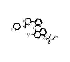 Cc1ccc2c(NS(=O)(=O)CC(C)C)cccc2c1Oc1ncccc1-c1ccnc(N[C@H]2CCCNC2)n1